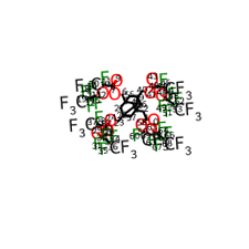 O=C(CC12CC3(COC(=O)C(F)(OC(F)(F)C(F)(F)C(F)(F)F)C(F)(F)F)CC(COC(=O)C(F)(OC(F)(F)C(F)(F)C(F)(F)F)C(F)(F)F)(CC(COC(=O)C(F)(OC(F)(F)C(F)(F)C(F)(F)F)C(F)(F)F)(C3)C1)C2)OC(F)(OC(F)(F)C(F)(F)C(F)(F)F)C(F)(F)F